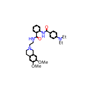 CCN(CC)c1ccc(C(=O)Nc2ccccc2C(=O)NCCN2CCc3cc(OC)c(OC)cc3C2)cc1